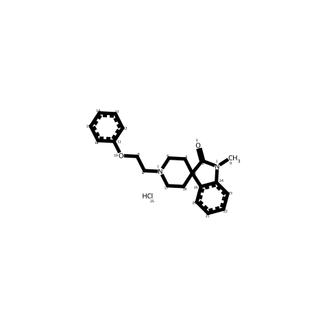 CN1C(=O)C2(CCN(CCOc3ccccc3)CC2)c2ccccc21.Cl